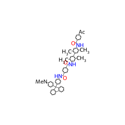 CNc1ccc(C2(c3ccc(NC(=O)c4ccc(C(=O)Nc5cc(C)c(-c6cc(C)c(NC(=O)c7ccc(C(C)=O)cc7)cc6C)cc5C)cc4)cc3)c3ccccc3-c3ccccc32)cc1